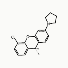 C[C@H]1c2ccc(N3CCCC3)cc2Oc2c(Cl)cccc21